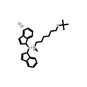 C[SiH](CCCCCCOC(C)(C)C)[Zr+2]([CH]1C=Cc2ccccc21)[CH]1C=Cc2ccccc21.[Cl-].[Cl-]